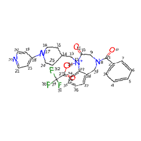 O=C(c1ccccc1)N1CC(=O)[N+](CC2CCN(c3ccncc3)CC2)(OC(=O)C(F)(F)F)c2ccccc2C1